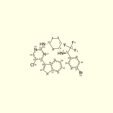 FC(F)(F)[C@H](N[C@H]1CCC[C@@H](Nc2ncc(Cl)c(C3=CCc4ccccc43)n2)C1)c1ccc(Br)cc1